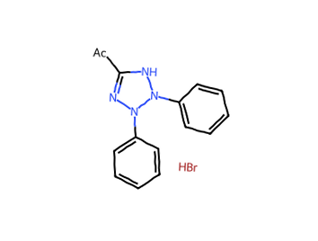 Br.CC(=O)C1=NN(c2ccccc2)N(c2ccccc2)N1